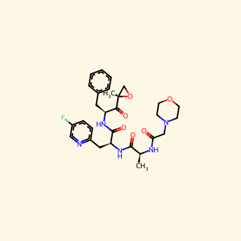 C[C@H](NC(=O)CN1CCOCC1)C(=O)N[C@@H](Cc1ccc(F)cn1)C(=O)N[C@@H](Cc1ccccc1)C(=O)[C@]1(C)CO1